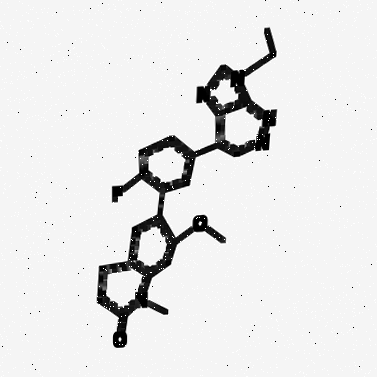 CCn1cnc2c(-c3ccc(F)c(-c4cc5ccc(=O)n(C)c5cc4OC)c3)cnnc21